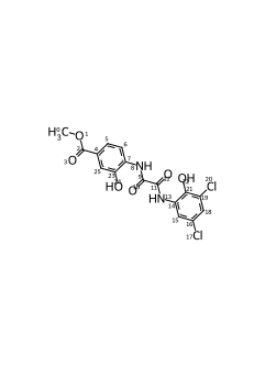 COC(=O)c1ccc(NC(=O)C(=O)Nc2cc(Cl)cc(Cl)c2O)c(O)c1